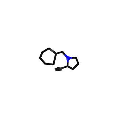 CCCCC1CCCN1CC1CCCCC1